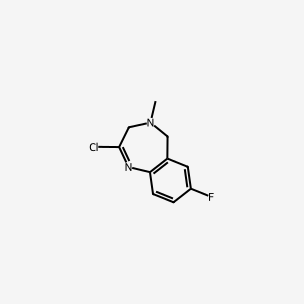 CN1CC(Cl)=Nc2ccc(F)cc2C1